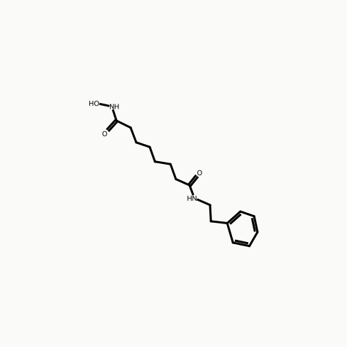 O=C(CCCCCCC(=O)NCCc1ccccc1)NO